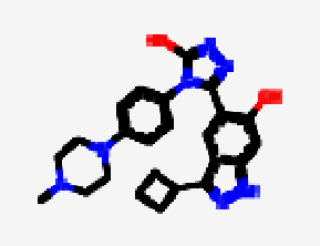 CN1CCN(c2ccc(-n3c(O)nnc3-c3cc4c(C5CCC5)n[nH]c4cc3O)cc2)CC1